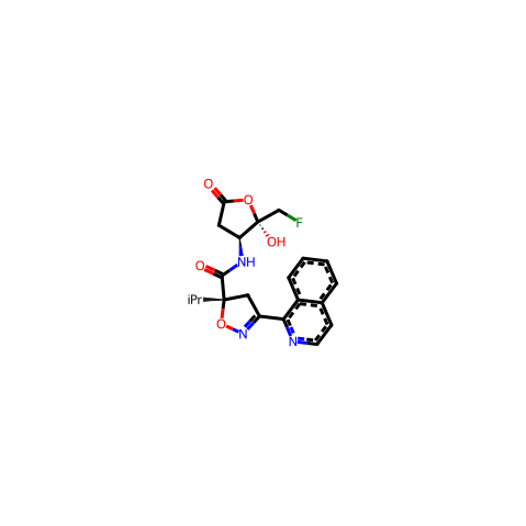 CC(C)[C@@]1(C(=O)N[C@H]2CC(=O)O[C@@]2(O)CF)CC(c2nccc3ccccc23)=NO1